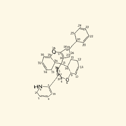 C1=CCNC(C2=CC3OC4C=CCCC4C4(C5=C(C=C(C6C=CC=CC6)CC5)OC5=CC=CCC54)C3C=C2)=C1